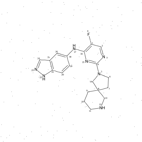 Fc1cnc(N2CCC3(CCCNC3)C2)nc1Nc1ccc2[nH]ncc2c1